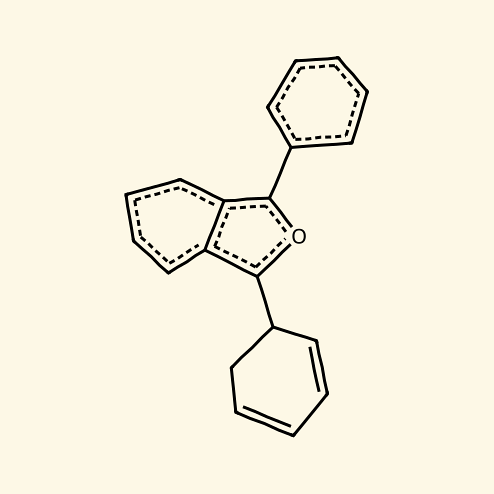 C1=CCC(c2oc(-c3ccccc3)c3ccccc23)C=C1